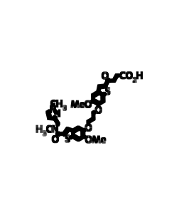 COc1cc2sc(C(=O)N(C)Cc3ccn(C)n3)cc2cc1OCCCOc1cc2sc(C(=O)CCC(=O)O)cc2cc1OC